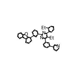 CCc1ccccc1-c1nc(-c2cccc(-c3cccc4c3oc3ccccc34)c2)nc(-c2cccc(-c3cccnc3)c2)c1CC